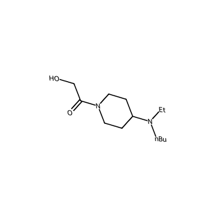 CCCCN(CC)C1CCN(C(=O)CO)CC1